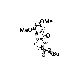 COc1cc(OC)cc(C(=O)C2CCCN(C(=O)OC(C)(C)C)C2)c1